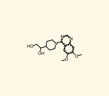 COc1cc2ncnc(N3CCC(C(O)CO)CC3)c2cc1OC